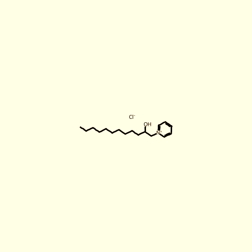 CCCCCCCCCCC(O)C[n+]1ccccc1.[Cl-]